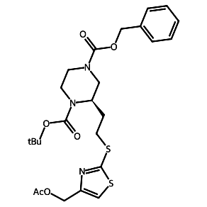 CC(=O)OCc1csc(SCC[C@@H]2CN(C(=O)OCc3ccccc3)CCN2C(=O)OC(C)(C)C)n1